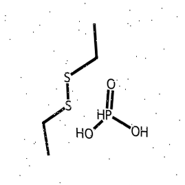 CCSSCC.O=[PH](O)O